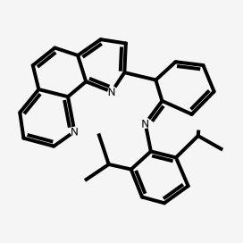 CC(C)c1cccc(C(C)C)c1N=C1C=CC=CC1c1ccc2ccc3cccnc3c2n1